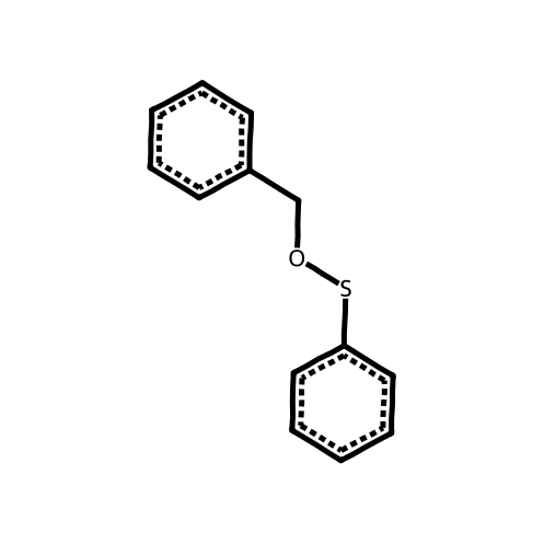 c1ccc(COSc2ccccc2)cc1